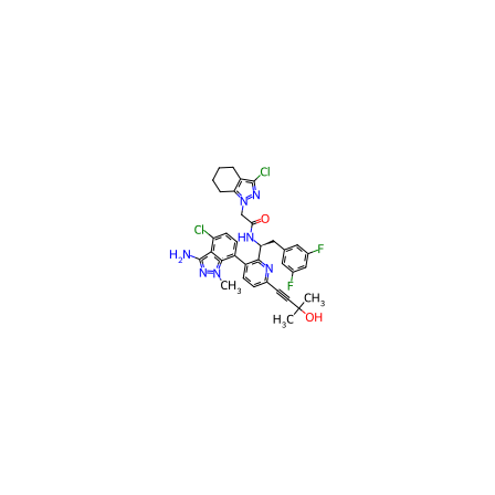 Cn1nc(N)c2c(Cl)ccc(-c3ccc(C#CC(C)(C)O)nc3[C@H](Cc3cc(F)cc(F)c3)NC(=O)Cn3nc(Cl)c4c3CCCC4)c21